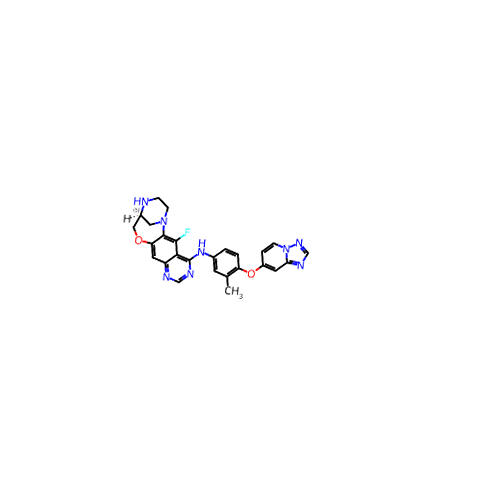 Cc1cc(Nc2ncnc3cc4c(c(F)c23)N2CCN[C@H](CO4)C2)ccc1Oc1ccn2ncnc2c1